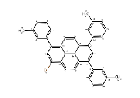 Cc1cccc(-c2cc(Br)c3ccc4c(-c5cccc(C)c5)cc(-c5cccc(C)c5)c5ccc2c3c45)c1